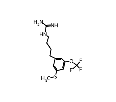 CSc1cc(CCCCNC(=N)N)cc(OC(F)(F)F)c1